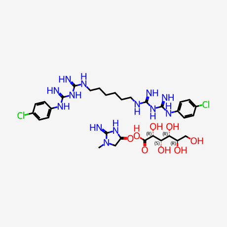 CN1CC(=O)NC1=N.N=C(NCCCCCCNC(=N)NC(=N)Nc1ccc(Cl)cc1)NC(=N)Nc1ccc(Cl)cc1.O=C(O)[C@H](O)[C@@H](O)[C@H](O)[C@H](O)CO